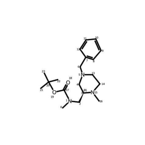 CN(C[C@H]1CN(Cc2ccccc2)CCN1C)C(=O)OC(C)(C)C